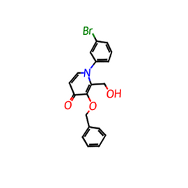 O=c1ccn(-c2cccc(Br)c2)c(CO)c1OCc1ccccc1